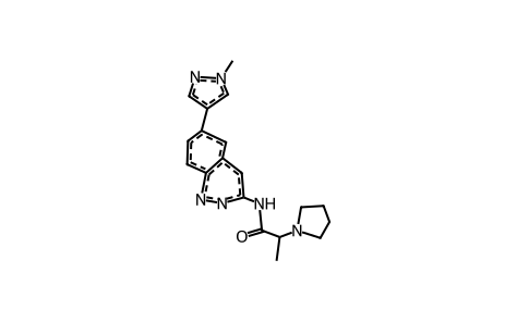 CC(C(=O)Nc1cc2cc(-c3cnn(C)c3)ccc2nn1)N1CCCC1